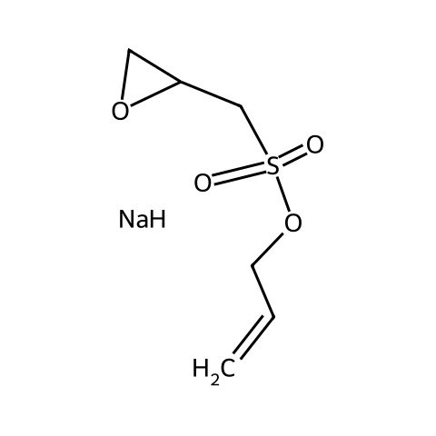 C=CCOS(=O)(=O)CC1CO1.[NaH]